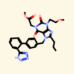 CCCc1nc2c(c(=O)n(CC(=O)OC)c(=O)n2CCOC)n1Cc1ccc(-c2ccccc2-c2nnn[nH]2)cc1